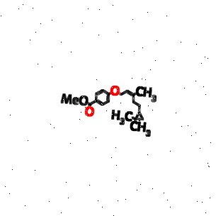 COC(=O)c1ccc(OCC=C(C)CCC2CC2(C)C)cc1